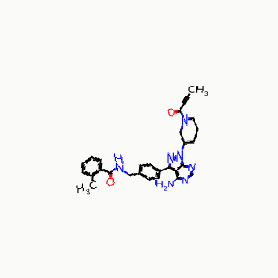 CC#CC(=O)N1CCCC(n2nc(-c3ccc(CNC(=O)c4ccccc4C)cc3)c3c(N)ncnc32)C1